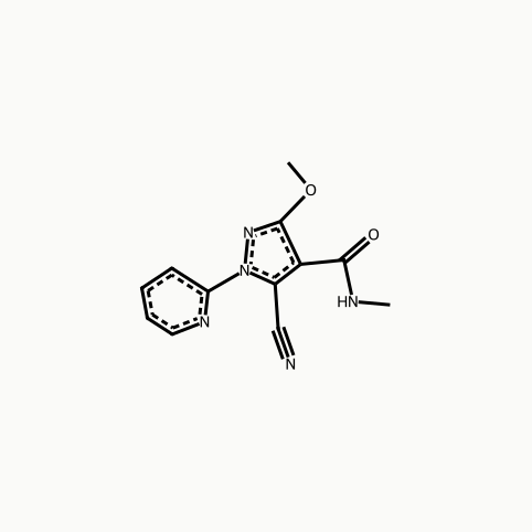 CNC(=O)c1c(OC)nn(-c2ccccn2)c1C#N